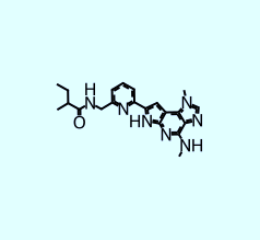 CCC(C)C(=O)NCc1cccc(-c2cc3c(nc(NC)c4ncn(C)c43)[nH]2)n1